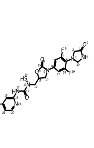 O=C1CN(c2c(F)cc(N3CC(CN(S)C(=O)Nc4ccccn4)OC3=O)cc2F)CN1